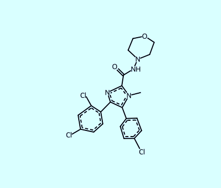 Cn1c(C(=O)NN2CCOCC2)nc(-c2ccc(Cl)cc2Cl)c1-c1ccc(Cl)cc1